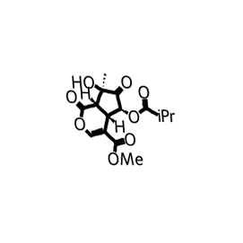 COC(=O)C1=COC(=O)[C@H]2[C@@H]1[C@H](OC(=O)C(C)C)C(=O)[C@]2(C)O